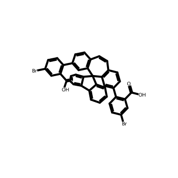 O=C(O)c1cc(Br)ccc1-c1ccc2c(c1)C1(c3cc(-c4ccc(Br)cc4C(=O)O)ccc3C=C2)c2ccccc2-c2ccccc21